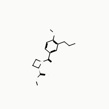 CCCc1cc(C(=O)N2CC[C@@H]2C(=O)OC)ccc1OC